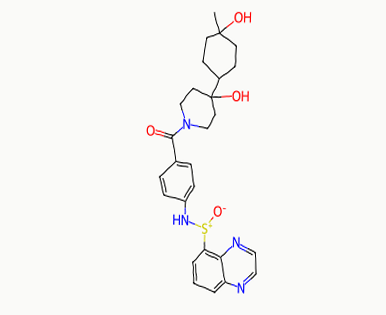 CC1(O)CCC(C2(O)CCN(C(=O)c3ccc(N[S+]([O-])c4cccc5nccnc45)cc3)CC2)CC1